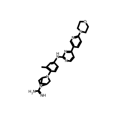 Cc1cc(Nc2nccc(-c3ccc(N4CCOCC4)nc3)n2)ccc1N1CC2CC1CN2C(=N)N